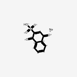 O=C1C=C(S(=O)(=O)O)C(=O)c2ccccc21.[Na]